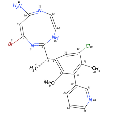 COc1c([C@H](C)c2nc(Br)cc(N)ncc[nH]2)cc(Cl)c(C)c1-c1cccnc1